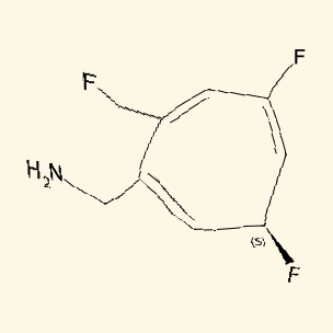 NCC1=C[C@H](F)C=C(F)C=C1F